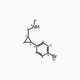 CNCC1CC1c1ccc(Br)cc1